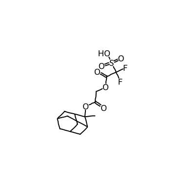 CC1(OC(=O)COC(=O)C(F)(F)S(=O)(=O)O)C2CC3CC(C2)CC1C3